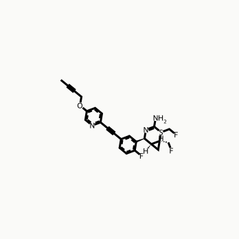 CC#CCOc1ccc(C#Cc2ccc(F)c([C@H]3N=C(N)[SH](CF)[C@@]4(CF)C[C@@H]34)c2)nc1